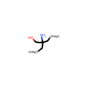 CCCCCCCCC(N)(CO)CCCCCCCC